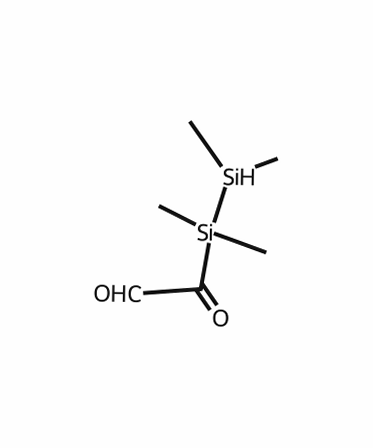 C[SiH](C)[Si](C)(C)C(=O)C=O